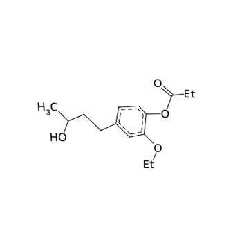 CCOc1cc(CCC(C)O)ccc1OC(=O)CC